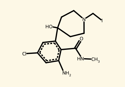 CNC(=O)c1c(N)cc(Cl)cc1C1(O)CCN(CI)CC1